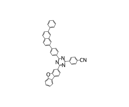 N#Cc1ccc(-c2nc(-c3ccc(-c4ccc5ccc(-c6ccccc6)cc5c4)cc3)nc(-c3ccc4c(c3)oc3ccccc34)n2)cc1